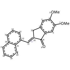 COc1cc2c(cc1OC)C(=O)/C(=C/c1cccc3cccnc13)C2